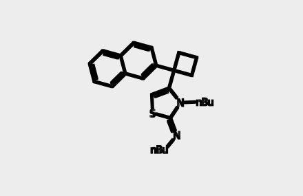 CCCCN=c1scc(C2(c3ccc4ccccc4c3)CCC2)n1CCCC